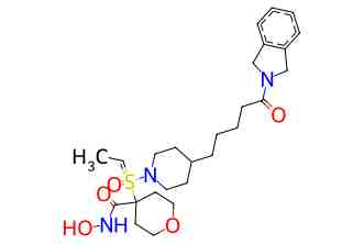 CC=S(=O)(N1CCC(CCCCC(=O)N2Cc3ccccc3C2)CC1)C1(C(=O)NO)CCOCC1